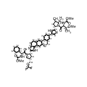 COC(=O)N[C@H](C(=O)N1[C@H](C)[C@H](C)C[C@H]1c1ncc(-c2ccc3c(c2)COc2cc4c(ccc5nc([C@@H]6C[C@H](COC(F)F)CN6C(=O)[C@H](NC(=O)OC)c6ccccc6)[nH]c54)cc2-3)[nH]1)[C@@H](C)OC